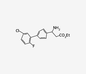 CCOC(=O)CC(N)c1ccc(-c2cc(Cl)ccc2F)cc1